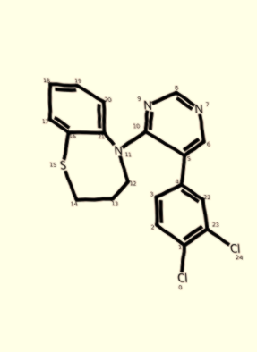 Clc1ccc(-c2cn[c]nc2N2CCCSc3ccccc32)cc1Cl